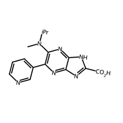 CC(C)N(C)c1nc2[nH]c(C(=O)O)nc2nc1-c1cccnc1